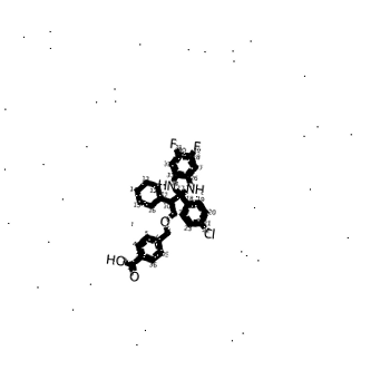 O=C(O)c1ccc(COCC(C2CCCCC2)C2(c3ccc(Cl)cc3)Nc3cc(F)c(F)cc3N2)cc1